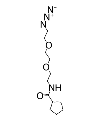 [N-]=[N+]=NCCOCCOCCNC(=O)C1CCCC1